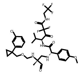 COc1ccc([C@H](NC[C@](C)(C=O)NCOCC2(c3cccc(Cl)c3)CC2)C(=O)N[C@H](C(=O)C(F)(F)C(=O)NCC(F)(F)F)C(C)C)cc1